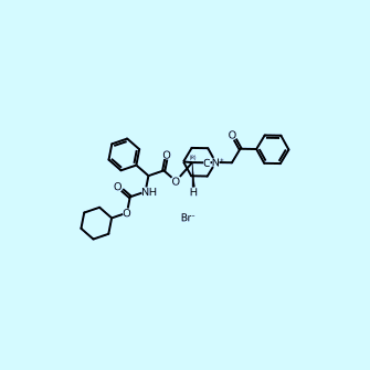 O=C(NC(C(=O)O[C@H]1C[N+]2(CC(=O)c3ccccc3)CCC1CC2)c1ccccc1)OC1CCCCC1.[Br-]